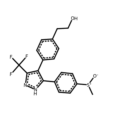 C[S+]([O-])c1ccc(-c2[nH]nc(C(F)(F)F)c2-c2ccc(CCO)cc2)cc1